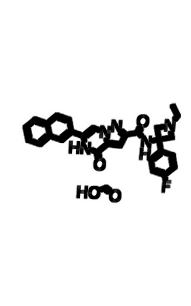 CCN1CC(NC(=O)c2cc3c(=O)[nH]c(-c4ccc5ccccc5c4)cn3n2)(c2ccc(F)cc2)C1.O=CO